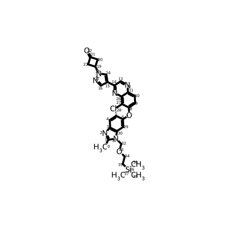 Cc1nc2ccc(Oc3ccc4ncc(-c5cnn(C6CC(=O)C6)c5)nc4c3Cl)cc2n1COCC[Si](C)(C)C